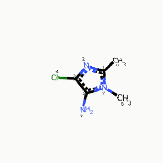 Cc1nc(Cl)c(N)n1C